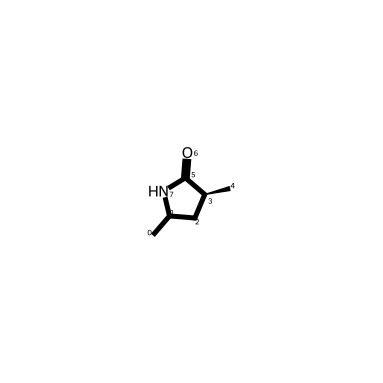 CC1C[C@H](C)C(=O)N1